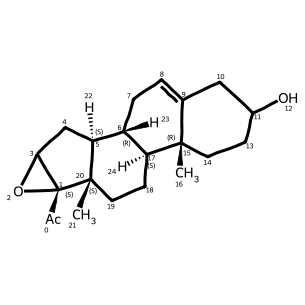 CC(=O)[C@@]12OC1C[C@H]1[C@@H]3CC=C4CC(O)CC[C@]4(C)[C@H]3CC[C@@]12C